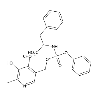 Cc1ncc(COP(=O)(NC(Cc2ccccc2)C(=O)O)Oc2ccccc2)c(C=O)c1O